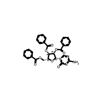 Nc1ncn([C@@H]2O[C@H](COC(=O)c3ccccc3)[C@@H](OC(=O)c3ccccc3)[C@H]2OC(=O)c2ccccc2)c(=O)n1